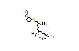 CC(C)=CCCC(C)=CCCC(C)=CCSC1CCCC(OC=O)C1